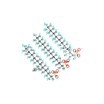 O=S(=O)([O-])C(F)(F)C(F)(F)C(F)(F)C(F)(F)C(F)(F)C(F)(F)C(F)(F)C(F)(F)C(F)(F)C(F)(F)F.O=S(=O)([O-])C(F)(F)C(F)(F)C(F)(F)C(F)(F)C(F)(F)C(F)(F)C(F)(F)C(F)(F)C(F)(F)C(F)(F)F.O=S(=O)([O-])C(F)(F)C(F)(F)C(F)(F)C(F)(F)C(F)(F)C(F)(F)C(F)(F)C(F)(F)C(F)(F)C(F)(F)F.[In+3]